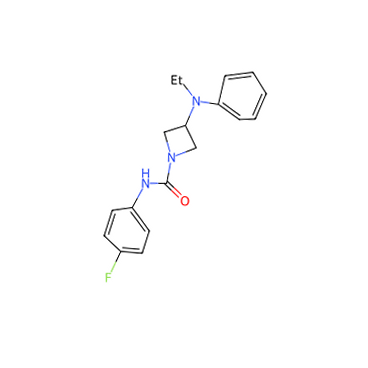 CCN(c1ccccc1)C1CN(C(=O)Nc2ccc(F)cc2)C1